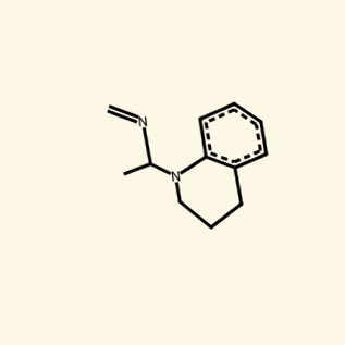 C=NC(C)N1CCCc2ccccc21